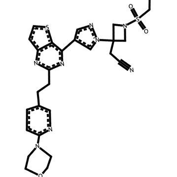 CCS(=O)(=O)N1CC(CC#N)(n2cc(-c3nc(CCc4ccc(N5CCOCC5)nc4)nc4ccsc34)cn2)C1